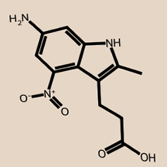 Cc1[nH]c2cc(N)cc([N+](=O)[O-])c2c1CCC(=O)O